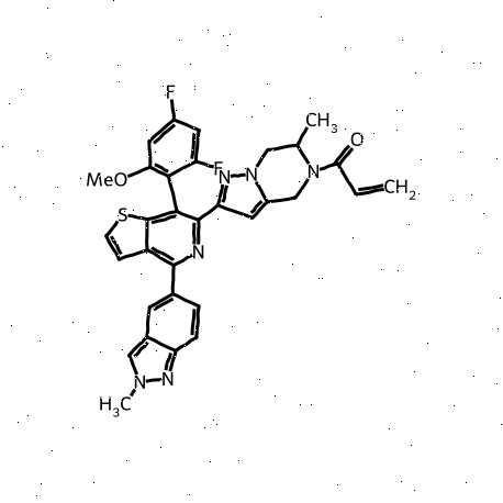 C=CC(=O)N1Cc2cc(-c3nc(-c4ccc5nn(C)cc5c4)c4ccsc4c3-c3c(F)cc(F)cc3OC)nn2CC1C